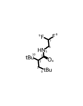 CC(C)(C)CC(C(=O)NCC(F)F)C(C)(C)C